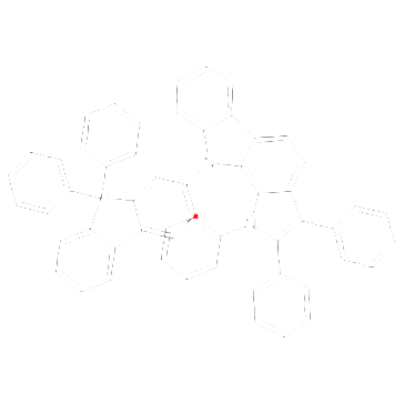 c1ccc(-c2c(-c3ccccc3)n(-c3ccccc3)c3c2ccc2c4ccccc4n(-c4ccc5c(c4)C(c4ccccc4)(c4ccccc4)c4ccccc4-5)c23)cc1